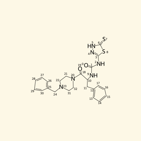 O=C(Nc1n[nH]c(=S)s1)NC(Cc1ccccc1)C(=O)N1CCN(Cc2ccccc2)CC1